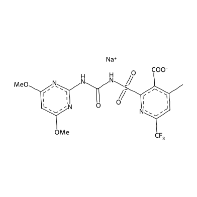 COc1cc(OC)nc(NC(=O)NS(=O)(=O)c2nc(C(F)(F)F)cc(C)c2C(=O)[O-])n1.[Na+]